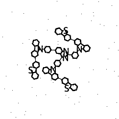 c1cc(-c2nc(-c3ccc(-n4c5ccccc5c5ccc(-c6ccc7c(c6)sc6ccccc67)cc54)cc3)c3cc(-c4ccc(-n5c6ccccc6c6ccc(-c7ccc8c(c7)sc7ccccc78)cc65)cc4)ccc3n2)cc(-n2c3ccccc3c3ccc(-c4ccc5c(c4)sc4ccccc45)cc32)c1